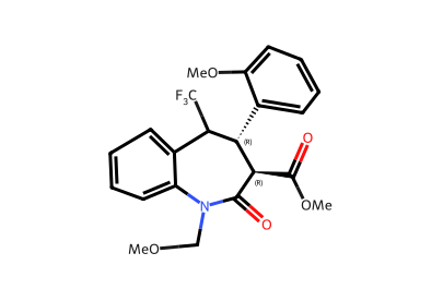 COCN1C(=O)[C@H](C(=O)OC)[C@@H](c2ccccc2OC)C(C(F)(F)F)c2ccccc21